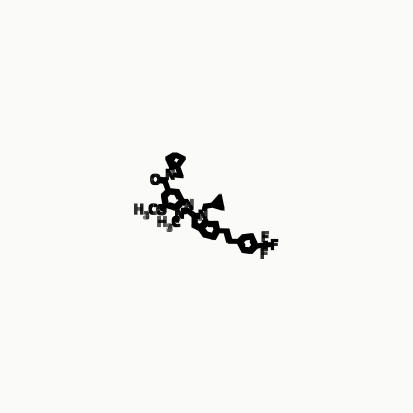 COc1cc(C(=O)N2CC34CC(CC23)C4)cc2nc(-c3cc4ccc(/C=C/c5ccc(C(F)(F)F)cc5)cc4n3CC3CC3)n(C)c12